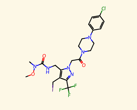 CON(C)C(=O)NCc1c(CI)c(C(F)(F)F)nn1CC(=O)N1CCN(c2ccc(Cl)cc2)CC1